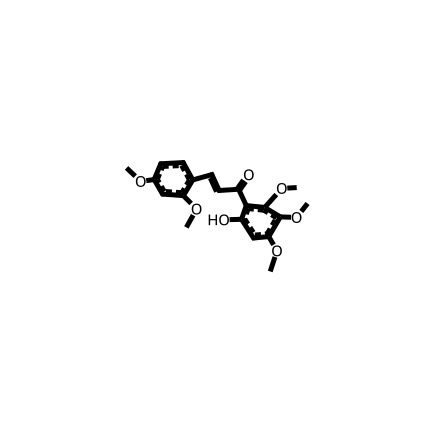 COc1ccc(C=CC(=O)c2c(O)cc(OC)c(OC)c2OC)c(OC)c1